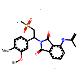 C=C(C)Nc1cccc2c1C(=O)N(C(CS(C)(=O)=O)c1ccc(OC)c(OCC)c1)C2=O